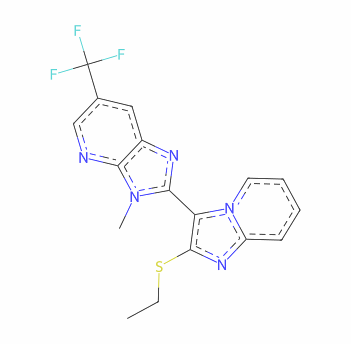 CCSc1nc2ccccn2c1-c1nc2cc(C(F)(F)F)cnc2n1C